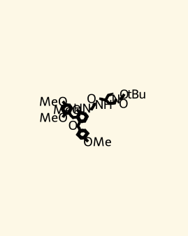 COc1ccc(C(=O)c2ccc(NCC(=O)NCC3CCN(C(=O)OC(C)(C)C)CC3)c(OC)c2Cc2ccc(OC)cc2OC)cc1